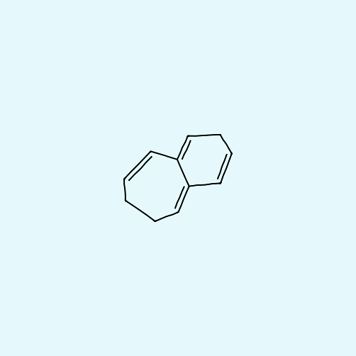 C1=CC2=CCCC=CC2=CC1